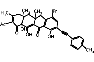 CC(=O)C1=C(C)C[C@@]2(C)C[C@@]3(C)Cc4c(C(C)C)cc(C#Cc5ccc(C)cc5)c(O)c4C(=O)C3=C(O)[C@@]2(O)C1=O